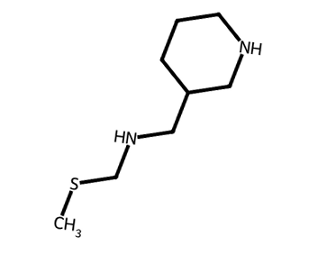 CSCNCC1CCCNC1